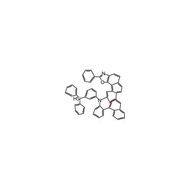 c1ccc(-c2nc3ccc4ccc5ccc(N(c6cccc([SiH](c7ccccc7)c7ccccc7)c6)c6ccccc6-c6cccc7ccccc67)cc5c4c3o2)cc1